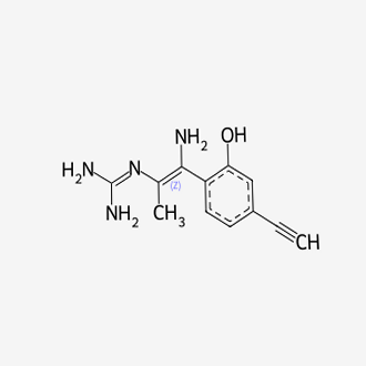 C#Cc1ccc(/C(N)=C(\C)N=C(N)N)c(O)c1